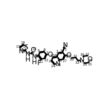 N#Cc1cc2c(Oc3ccc(NC(=O)Nc4nccs4)c(F)c3)ccnc2cc1OCCCN1CCOCC1